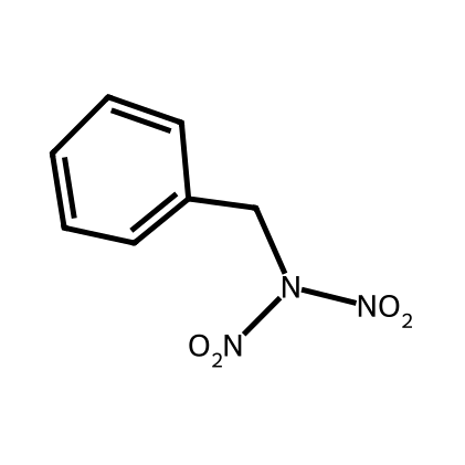 O=[N+]([O-])N(Cc1ccccc1)[N+](=O)[O-]